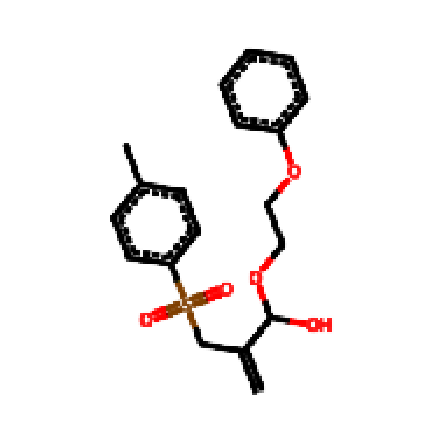 C=C(CS(=O)(=O)c1ccc(C)cc1)C(O)OCCOc1ccccc1